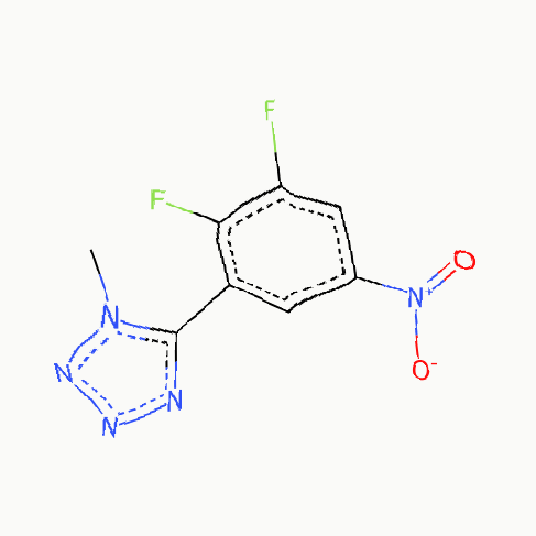 Cn1nnnc1-c1cc([N+](=O)[O-])cc(F)c1F